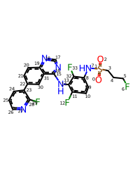 O=S(=O)(CCCF)Nc1ccc(F)c(Nc2ncnc3ccc(-c4cccnc4F)cc23)c1F